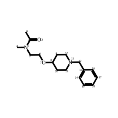 CC(=O)N(C)CCOC1CCN(Cc2ccccc2)CC1